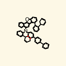 C1=CCC(c2ccccc2-c2cccc3oc4c5ccccc5c(N(c5ccc(-c6ccc(-c7ccccc7)cc6)cc5)c5ccccc5C5C=CCCC5)cc4c23)C=C1